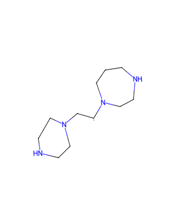 [CH](CN1CCNCC1)N1CCCNCC1